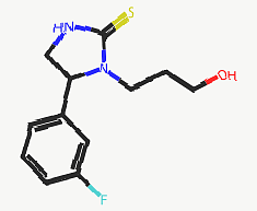 OCCCN1C(=S)NCC1c1cccc(F)c1